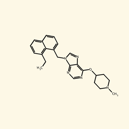 CCc1cccc2cccc(Cn3cnc4c(OC5CCN(C)CC5)ncnc43)c12